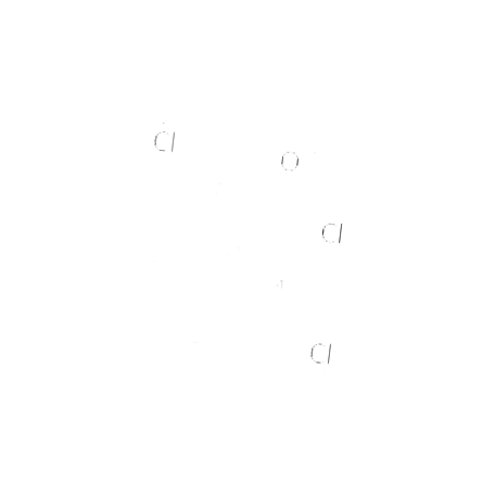 O=C(Cl)C1(C(Cl)Cl)CC1